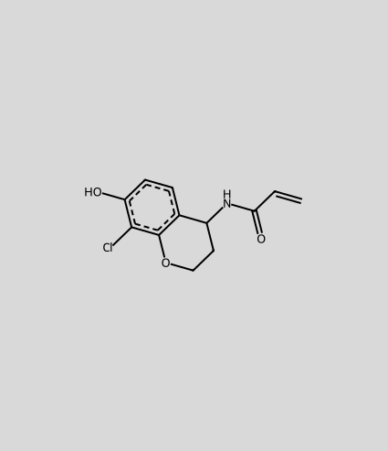 C=CC(=O)NC1CCOc2c1ccc(O)c2Cl